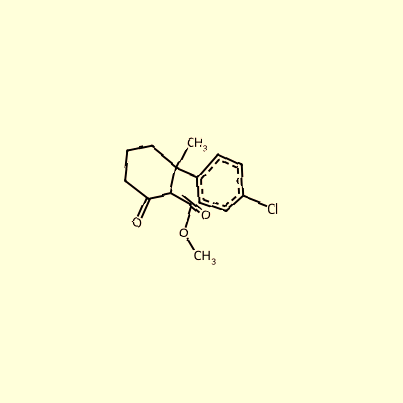 COC(=O)C1C(=O)CCCC1(C)c1ccc(Cl)cc1